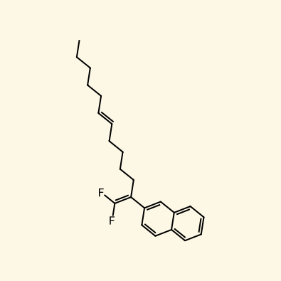 CCCCC/C=C/CCCCC(=C(F)F)c1ccc2ccccc2c1